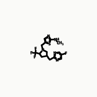 CNc1ncc(CN2CC(Cc3ncc(F)cn3)CC2C(F)(F)F)s1